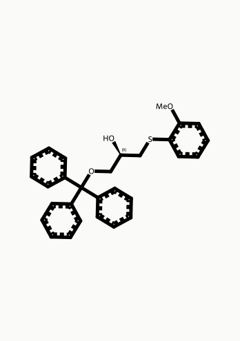 COc1ccccc1SC[C@H](O)COC(c1ccccc1)(c1ccccc1)c1ccccc1